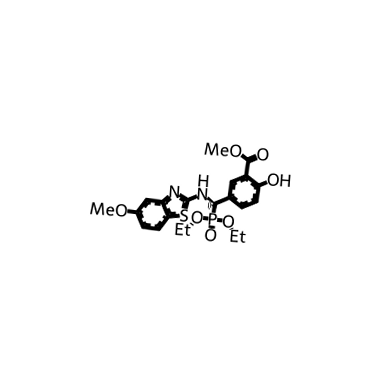 CCOP(=O)(OCC)[C@@H](Nc1nc2cc(OC)ccc2s1)c1ccc(O)c(C(=O)OC)c1